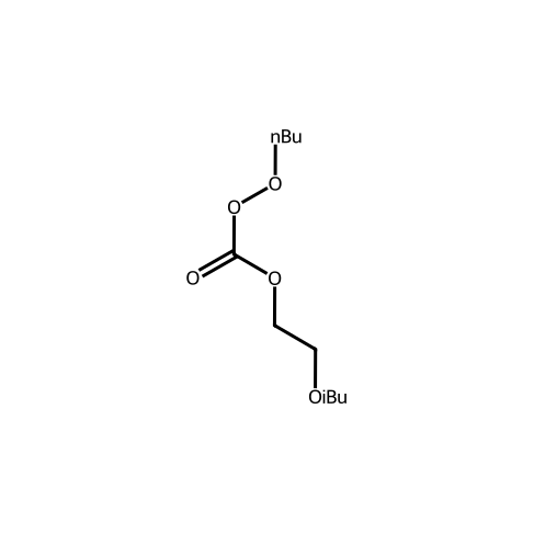 CCCCOOC(=O)OCCOCC(C)C